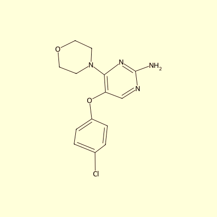 Nc1ncc(Oc2ccc(Cl)cc2)c(N2CCOCC2)n1